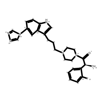 C[C@H](C(=O)N1CCN(CCCc2c[nH]c3ccc(-n4cnnc4)cc23)CC1)c1ccccc1F